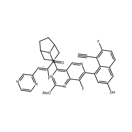 C#Cc1c(F)ccc2cc(O)cc(-c3ncc4c(N5CC6CCC(C5)N6C(=O)/C(F)=C/c5cnccn5)nc(OC)nc4c3F)c12